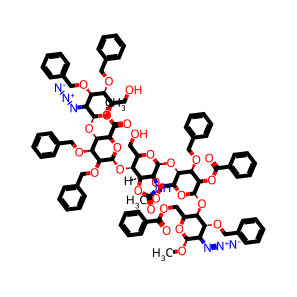 COC(=O)C1O[C@@H](O[C@@H]2C(CO)O[C@@H](O[C@H]3C(C(=O)OC)O[C@@H](O[C@@H]4C(COC(=O)c5ccccc5)O[C@H](OC)C(N=[N+]=[N-])[C@H]4OCc4ccccc4)C(OC(=O)c4ccccc4)[C@@H]3OCc3ccccc3)C3NC(=O)O[C@H]32)C(OCc2ccccc2)[C@@H](OCc2ccccc2)[C@@H]1O[C@H]1OC(CO)[C@@H](OCc2ccccc2)[C@H](OCc2ccccc2)C1N=[N+]=[N-]